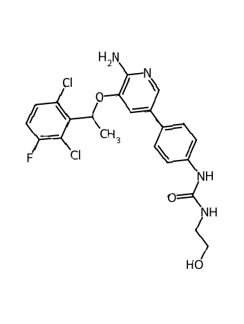 CC(Oc1cc(-c2ccc(NC(=O)NCCO)cc2)cnc1N)c1c(Cl)ccc(F)c1Cl